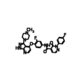 CN1CCN(c2n[nH]c3nccc(Oc4ccc(NC(=O)c5ccnn(-c6ccc(F)cc6)c5=O)cc4F)c23)CC1